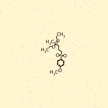 CCO[Si](C)(CCCS(=O)(=O)c1ccc(OC)cc1)OCC